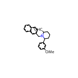 COc1cccc(C2CCCC(C=O)N2Cc2ccc3ccccc3c2)c1